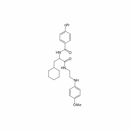 CCCc1ccc(C(=O)NC(CC2CCCCC2)C(=O)NCCNc2ccc(OC)cc2)cc1